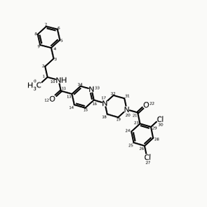 CC(CCc1ccccc1)NC(=O)c1ccc(N2CCN(C(=O)c3ccc(Cl)cc3Cl)CC2)nc1